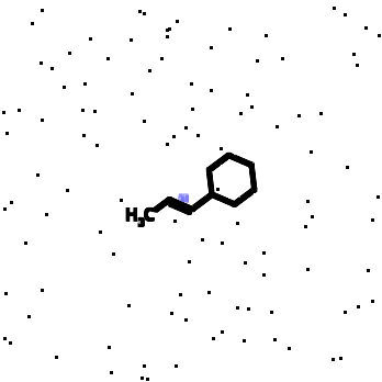 C/C=C/C1CCCCC1